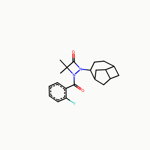 CC1(C)C(=O)N(C2CCC3CC4CC2CC34)N1C(=O)c1ccccc1F